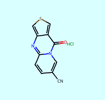 Cl.N#Cc1ccc2nc3cscc3c(=O)n2c1